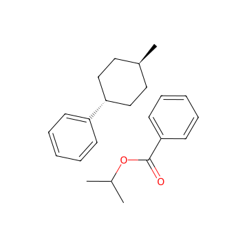 CC(C)OC(=O)c1ccccc1.C[C@H]1CC[C@H](c2ccccc2)CC1